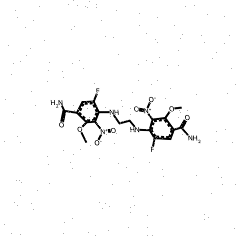 COc1c(C(N)=O)cc(F)c(NCCNc2c(F)cc(C(N)=O)c(OC)c2[N+](=O)[O-])c1[N+](=O)[O-]